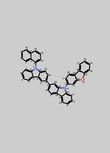 c1ccc2c(-n3c4ccccc4c4cc(-c5ccc6c7ccccc7n(-c7ccc8c(c7)oc7ccccc78)c6c5)ccc43)cccc2c1